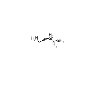 NCC#C[SiH2][SiH2][SiH3]